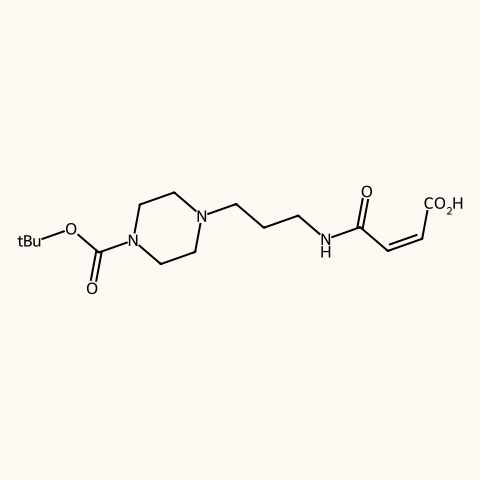 CC(C)(C)OC(=O)N1CCN(CCCNC(=O)/C=C\C(=O)O)CC1